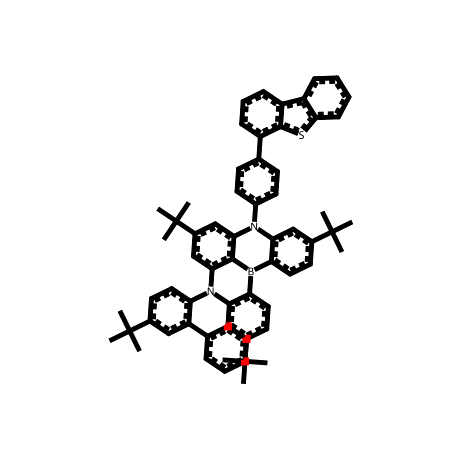 CC(C)(C)c1ccc(N2c3cc(C(C)(C)C)ccc3B3c4ccc(C(C)(C)C)cc4N(c4ccc(-c5cccc6c5sc5ccccc56)cc4)c4cc(C(C)(C)C)cc2c43)c(-c2ccccc2)c1